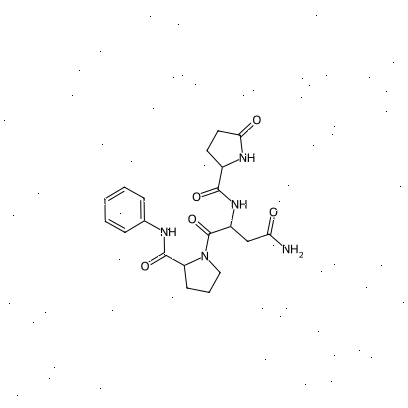 NC(=O)CC(NC(=O)C1CCC(=O)N1)C(=O)N1CCCC1C(=O)Nc1ccccc1